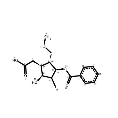 COC[C@H]1[C@H](CC(=O)O)[C@H](O)C(I)[C@@H]1OC(=O)c1ccccc1